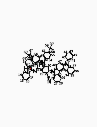 C[C@@H]1C=CC=CC1N/C(=N\C(=N)c1ccccc1)c1cc(C#N)c(-n2c3ccccc3c3c4c5ccccc5n(-c5ccccc5)c4ccc32)cc1-n1c2ccc(C(C)(C)C)cc2c2cc(C(C)(C)C)ccc21